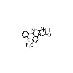 O=C1CN2C(=NN1)CN=C(c1ccccc1Cl)c1cc(C(F)(F)F)ccc12